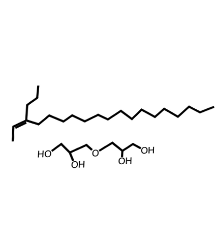 CC=C(CCC)CCCCCCCCCCCCCCCC.OCC(O)COCC(O)CO